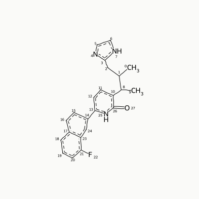 CC(Cc1ncc[nH]1)C(C)c1ccc(-c2ccc3cccc(F)c3c2)[nH]c1=O